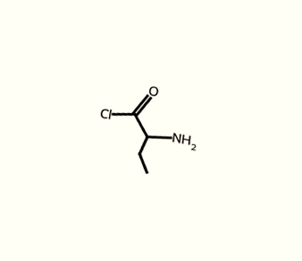 CCC(N)C(=O)Cl